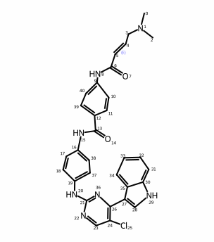 CN(C)C/C=C/C(=O)Nc1ccc(C(=O)Nc2ccc(Nc3ncc(Cl)c(-c4c[nH]c5ccccc45)n3)cc2)cc1